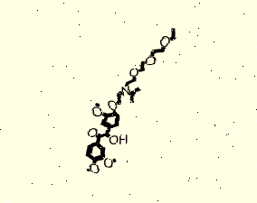 CCOCCOCCOCCN(CCOc1ccc(C(O)C(=O)c2ccc(OC)c(OC)c2)cc1OC)C(C)C